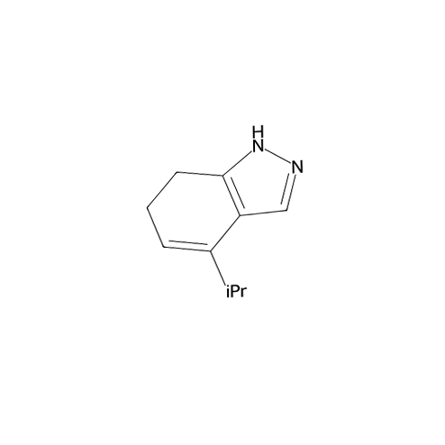 CC(C)C1=CCCc2[nH]ncc21